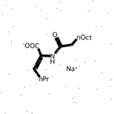 CCCC=C(NC(=O)CCCCCCCCC)C(=O)[O-].[Na+]